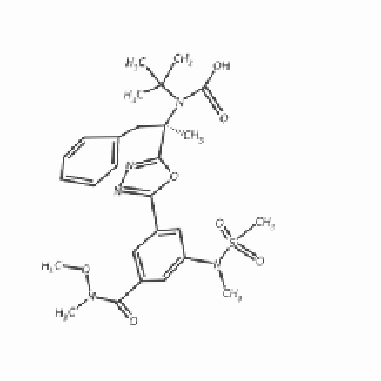 CON(C)C(=O)c1cc(-c2nnc([C@@](C)(Cc3ccccc3)N(C(=O)O)C(C)(C)C)o2)cc(N(C)S(C)(=O)=O)c1